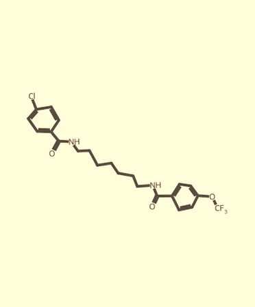 O=C(NCCCCCCCNC(=O)c1ccc(OC(F)(F)F)cc1)c1ccc(Cl)cc1